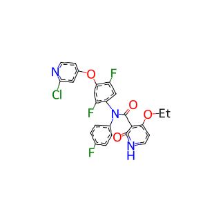 CCOc1cc[nH]c(=O)c1C(=O)N(c1ccc(F)cc1)c1cc(F)c(Oc2ccnc(Cl)c2)cc1F